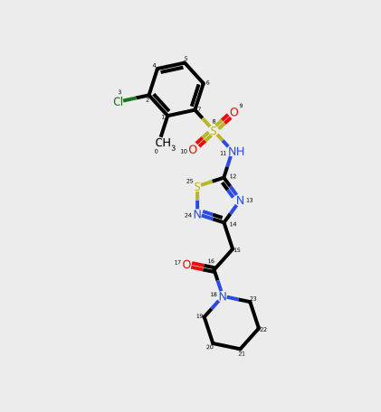 Cc1c(Cl)cccc1S(=O)(=O)Nc1nc(CC(=O)N2CCCCC2)ns1